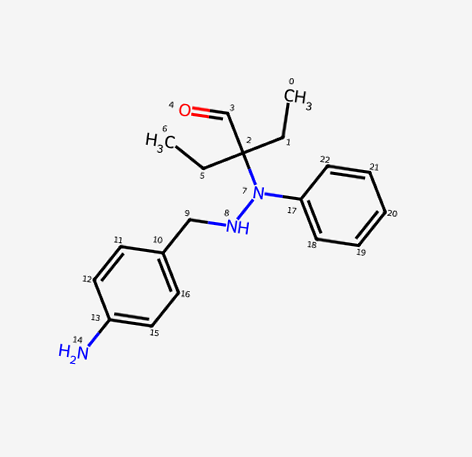 CCC(C=O)(CC)N(NCc1ccc(N)cc1)c1ccccc1